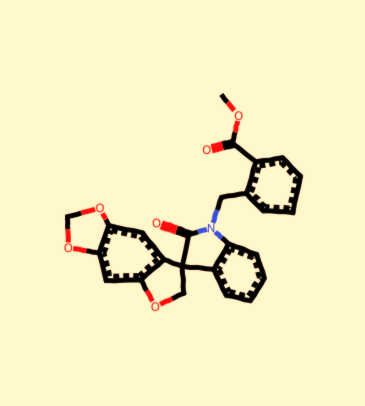 COC(=O)c1ccccc1CN1C(=O)C2(COc3cc4c(cc32)OCO4)c2ccccc21